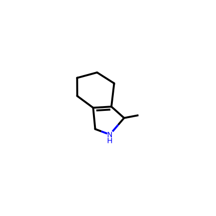 CC1NCC2=C1CCCC2